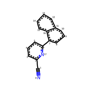 N#Cc1cccc(-c2cccc3ccccc23)n1